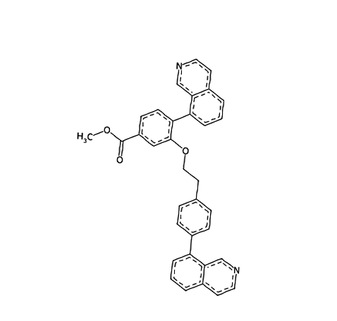 COC(=O)c1ccc(-c2cccc3ccncc23)c(OCCc2ccc(-c3cccc4ccncc34)cc2)c1